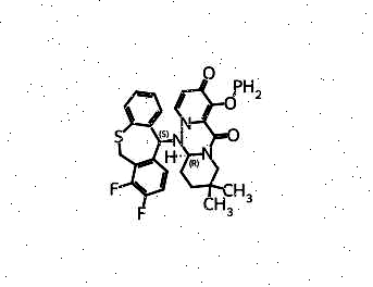 CC1(C)CC[C@@H]2N(C1)C(=O)c1c(OP)c(=O)ccn1N2[C@@H]1c2ccccc2SCc2c1ccc(F)c2F